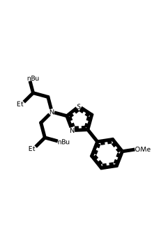 CCCCC(CC)CN(CC(CC)CCCC)c1nc(-c2cccc(OC)c2)cs1